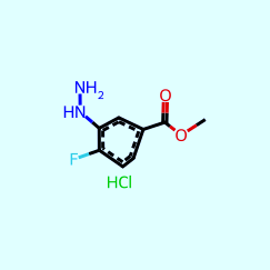 COC(=O)c1ccc(F)c(NN)c1.Cl